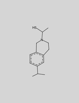 CC(C)c1ccc2c(c1)CCN(C(C)S)C2